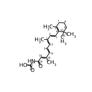 CC(C=CC1=C(C)CCCC1(C)C)=CC=CC(C)=CC(=O)NC(=O)O